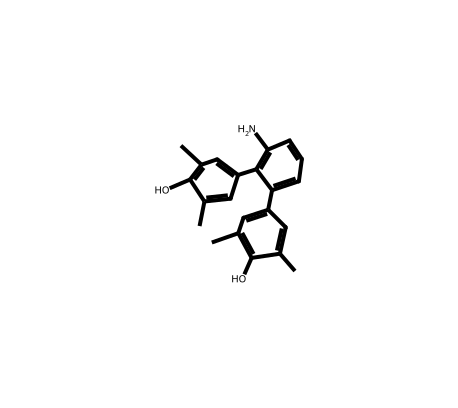 Cc1cc(-c2cccc(N)c2-c2cc(C)c(O)c(C)c2)cc(C)c1O